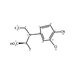 C[C@@H](C(=O)O)N(CC(F)(F)F)c1ccc(C#N)c(Cl)c1